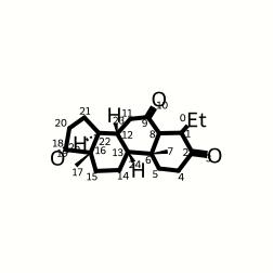 CCC1C(=O)CC[C@@]2(C)C1C(=O)C[C@@H]1[C@H]2CC[C@]2(C)C(=O)CC[C@@H]12